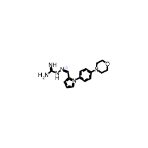 N=C(N)N/N=C\c1cccn1-c1ccc(N2CCOCC2)cc1